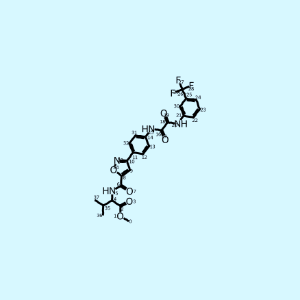 COC(=O)C(NC(=O)c1cc(-c2ccc(NC(=O)C(=O)Nc3cccc(C(F)(F)F)c3)cc2)no1)C(C)C